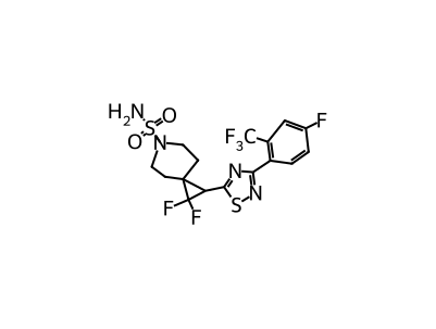 NS(=O)(=O)N1CCC2(CC1)C(c1nc(-c3ccc(F)cc3C(F)(F)F)ns1)C2(F)F